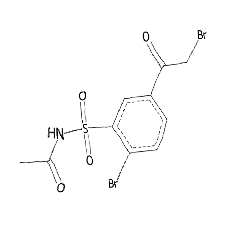 CC(=O)NS(=O)(=O)c1cc(C(=O)CBr)ccc1Br